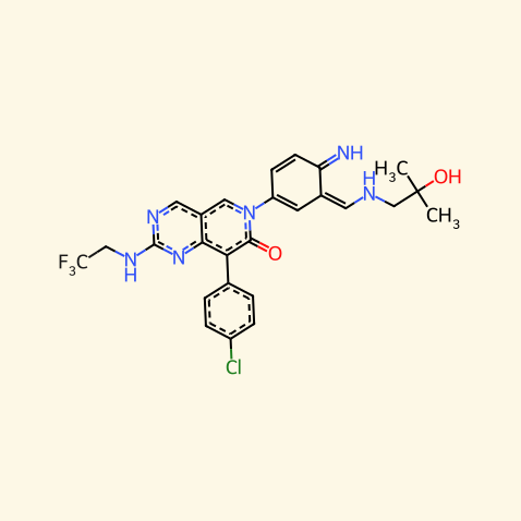 CC(C)(O)CN/C=C1/C=C(n2cc3cnc(NCC(F)(F)F)nc3c(-c3ccc(Cl)cc3)c2=O)C=CC1=N